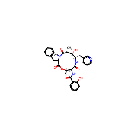 C[C@H]1OC(=O)C(Cc2ccccc2)N(C)C(=O)[C@H](C)[C@H](O)[C@H](Cc2cccnc2)NC(=O)[C@H]1NC(=O)c1ccccc1O